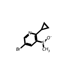 C[S+]([O-])c1cc(Br)cnc1C1CC1